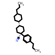 CCCc1ccc([C@]2(C#N)CC[C@@H](C3CCC(CCC)CC3)CC2)cc1